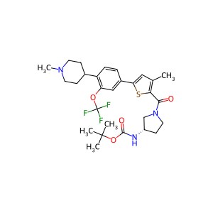 Cc1cc(-c2ccc(C3CCN(C)CC3)c(OC(F)(F)F)c2)sc1C(=O)N1CC[C@H](NC(=O)OC(C)(C)C)C1